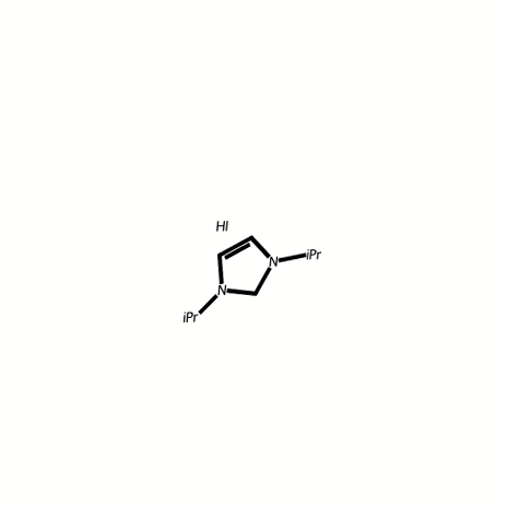 CC(C)N1C=CN(C(C)C)C1.I